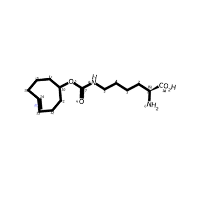 N[C@@H](CCCCNC(=O)OC1CC/C=C/CCC1)C(=O)O